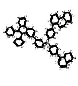 c1ccc(-c2c(-c3ccccc3)c3cc(-c4cccc(N(c5ccc(-c6cccc7ccccc67)cc5)c5ccc(-c6cccc7c6ccc6ccccc67)cc5)c4)ccc3c3ccccc23)cc1